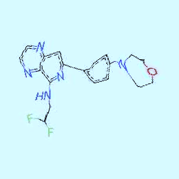 FC(F)CNc1nc(-c2ccc(N3CCOCC3)cc2)cc2nccnc12